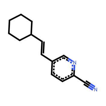 N#Cc1ccc(C=CC2CCCCC2)cn1